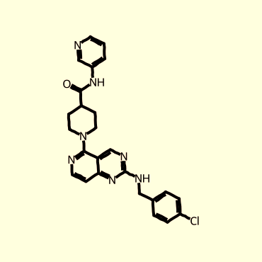 O=C(Nc1cccnc1)C1CCN(c2nccc3nc(NCc4ccc(Cl)cc4)ncc23)CC1